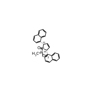 CN(C)[P@@]1(=O)[C@@H](c2cccc3ccccc23)C=C[C@H]1c1cccc2ccccc12